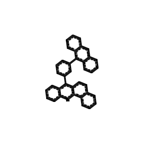 c1cc(-c2c3ccccc3cc3ccccc23)cc(-c2c3ccccc3nc3c2ccc2ccccc23)c1